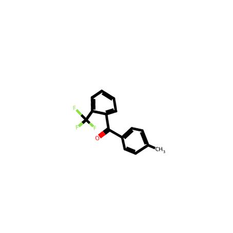 Cc1ccc(C(=O)c2ccccc2C(F)(F)F)cc1